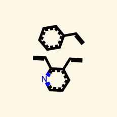 C=Cc1ccccc1.C=Cc1cccnc1C=C